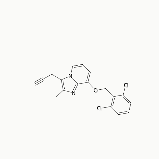 C#CCc1c(C)nc2c(OCc3c(Cl)cccc3Cl)cccn12